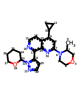 CC1COCCN1c1cc(C2CC2)c2ccnc(-c3ccnn3C3CCCCO3)c2n1